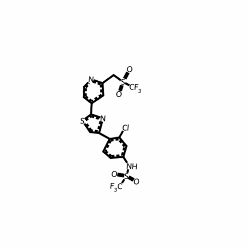 O=S(=O)(Cc1cc(-c2nc(-c3ccc(NS(=O)(=O)C(F)(F)F)cc3Cl)cs2)ccn1)C(F)(F)F